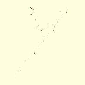 C=C(C)C(=O)OCCNC(=O)OCC(CSCCC(=O)OCCOCCOCC)OC(=O)NCCOC(=O)C(=C)C